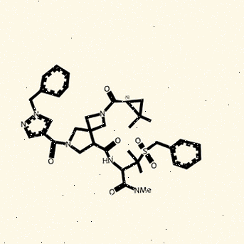 CNC(=O)C(NC(=O)C1CN(C(=O)c2cnn(Cc3ccccc3)c2)CC12CN(C(=O)[C@H]1CC1(C)C)C2)C(C)(C)S(=O)(=O)Cc1ccccc1